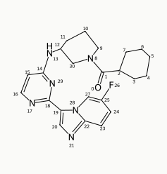 O=C(C1CCCCC1)N1CCCC(Nc2ccnc(-c3cnc4ccc(F)cn34)n2)C1